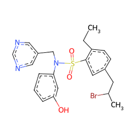 CCc1ccc(CC(C)Br)cc1S(=O)(=O)N(Cc1cncnc1)c1cccc(O)c1